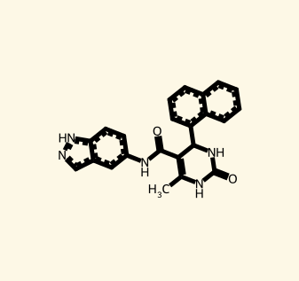 CC1=C(C(=O)Nc2ccc3[nH]ncc3c2)C(c2cccc3ccccc23)NC(=O)N1